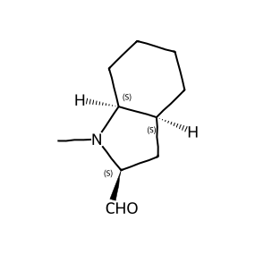 CN1[C@H](C=O)C[C@@H]2CCCC[C@@H]21